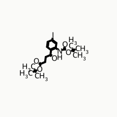 CC(C)(C)OC(=O)CCC(=O)c1ccc(I)cc1NC(=O)OC(C)(C)C